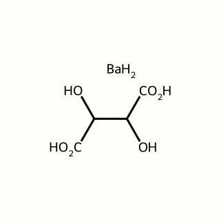 O=C(O)C(O)C(O)C(=O)O.[BaH2]